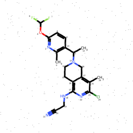 Cc1nc(OC(F)F)ccc1C(C)N1CCc2c(NCC#N)nc(Cl)c(C)c2C1